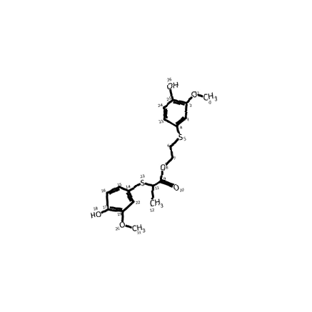 COc1cc(SCCOC(=O)C(C)Sc2ccc(O)c(OC)c2)ccc1O